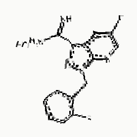 Cl.N=C(N)c1nn(Cc2ccccc2F)c2ncc(F)cc12